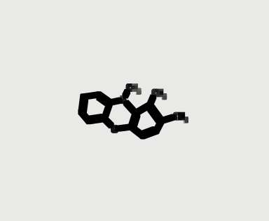 CB1c2ccccc2Oc2ccc(C)c(C)c21